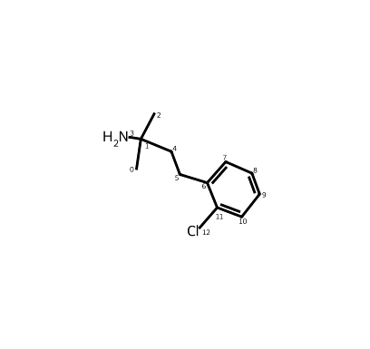 CC(C)(N)CCc1ccccc1Cl